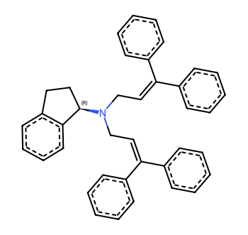 C(CN(CC=C(c1ccccc1)c1ccccc1)[C@@H]1CCc2ccccc21)=C(c1ccccc1)c1ccccc1